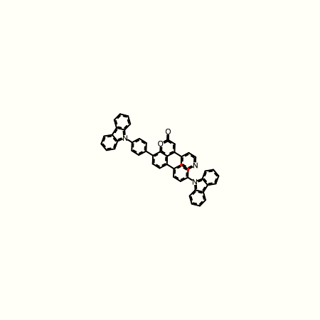 O=c1cc(-c2ccncc2)c2c(-c3ccc(-n4c5ccccc5c5ccccc54)cc3)ccc(-c3ccc(-n4c5ccccc5c5ccccc54)cc3)c2o1